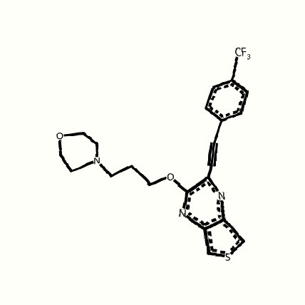 FC(F)(F)c1ccc(C#Cc2nc3cscc3nc2OCCCN2CCOCC2)cc1